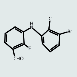 O=Cc1cccc(Nc2cccc(Br)c2Cl)c1F